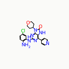 Nc1ccc(Cl)cc1Nc1nc(-c2ccncc2)c2[nH]c(=O)n(C3CCOCC3)c2n1